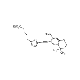 CCCCCCc1cc2c(cc1C#Cc1ccc(CCCCC(=O)OCC)o1)C(C)(C)CCS2